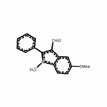 COc1ccc2c(c1)c(C=O)c(-c1ccccc1)n2C